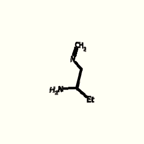 C=NCC(N)CC